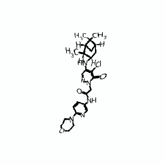 C[C@@H]1[C@H]2C[C@@H](C[C@H]1Nc1cnn(CC(=O)Nc3ccc(N4CCOCC4)nc3)c(=O)c1Cl)C2(C)C